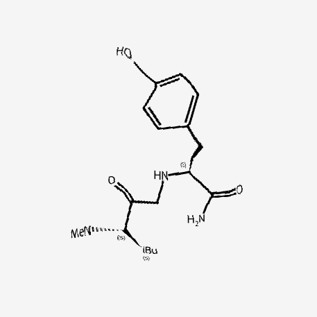 CC[C@H](C)[C@H](NC)C(=O)CN[C@@H](Cc1ccc(O)cc1)C(N)=O